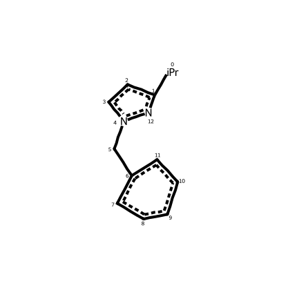 CC(C)c1[c]cn(Cc2ccccc2)n1